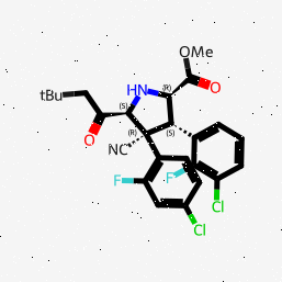 COC(=O)[C@@H]1N[C@H](C(=O)CC(C)(C)C)[C@](C#N)(c2ccc(Cl)cc2F)[C@H]1c1cccc(Cl)c1F